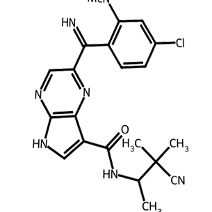 CNc1cc(Cl)ccc1C(=N)c1cnc2[nH]cc(C(=O)NC(C)C(C)(C)C#N)c2n1